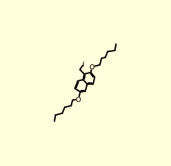 CCCCCCOc1ccc2c(CI)c(OCCCCCC)ccc2c1